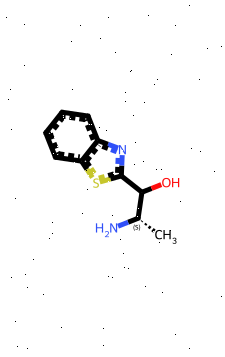 C[C@H](N)C(O)c1nc2ccccc2s1